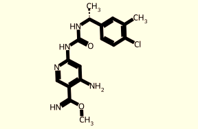 COC(=N)c1cnc(NC(=O)N[C@H](C)c2ccc(Cl)c(C)c2)cc1N